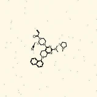 C=CC(=O)N1CCN(c2nc(N(C)C[C@@H]3CCCN3C)nc3c2CCN(c2c[c]cc4ccccc24)C3)C[C@@H]1CC#N